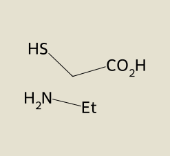 CCN.O=C(O)CS